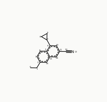 CCc1ccc2c(C3CC3)cc(C#N)cc2c1